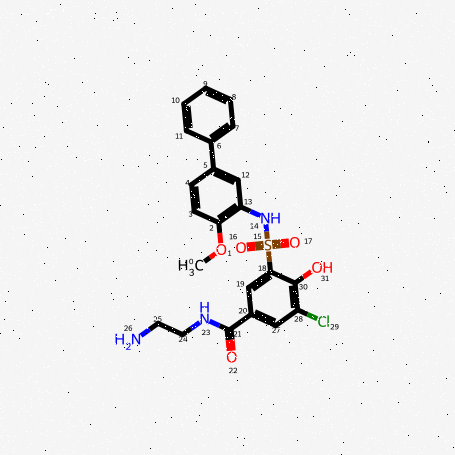 COc1ccc(-c2ccccc2)cc1NS(=O)(=O)c1cc(C(=O)NCCN)cc(Cl)c1O